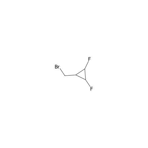 FC1C(F)C1CBr